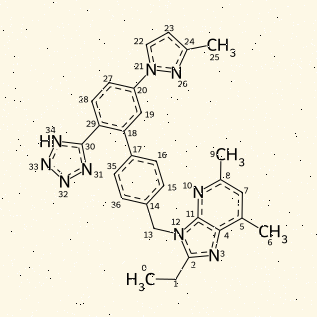 CCc1nc2c(C)cc(C)nc2n1Cc1ccc(-c2cc(-n3ccc(C)n3)ccc2-c2nnn[nH]2)cc1